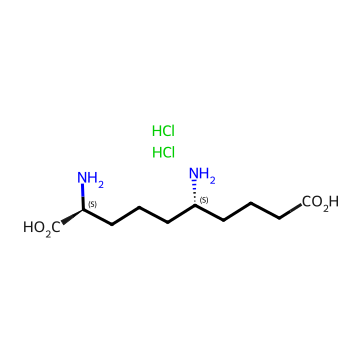 Cl.Cl.N[C@H](CCCC(=O)O)CCC[C@H](N)C(=O)O